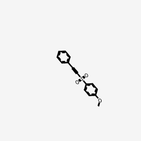 COc1ccc(S(=O)(=O)C#Cc2ccccc2)cc1